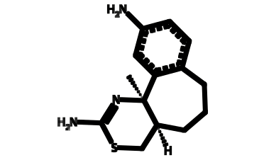 C[C@@]12N=C(N)SC[C@@H]1CCCc1ccc(N)cc12